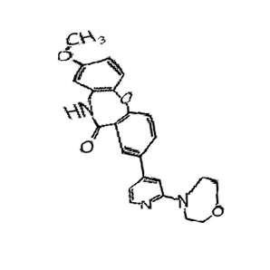 COc1ccc2c(c1)NC(=O)c1cc(-c3ccnc(N4CCOCC4)c3)ccc1O2